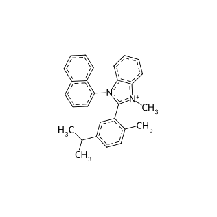 Cc1ccc(C(C)C)cc1-c1n(-c2cccc3ccccc23)c2ccccc2[n+]1C